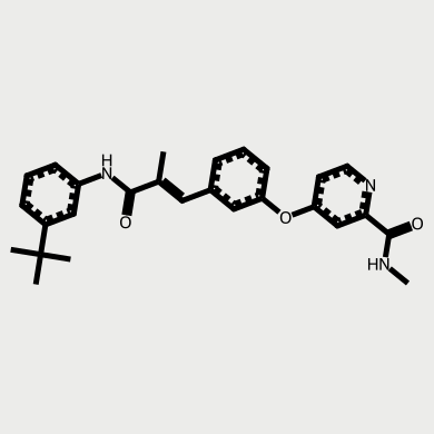 CNC(=O)c1cc(Oc2cccc(/C=C(\C)C(=O)Nc3cccc(C(C)(C)C)c3)c2)ccn1